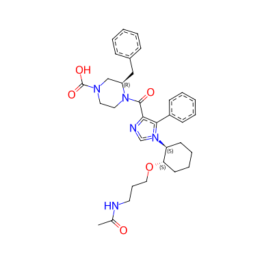 CC(=O)NCCCO[C@H]1CCCC[C@@H]1n1cnc(C(=O)N2CCN(C(=O)O)C[C@H]2Cc2ccccc2)c1-c1ccccc1